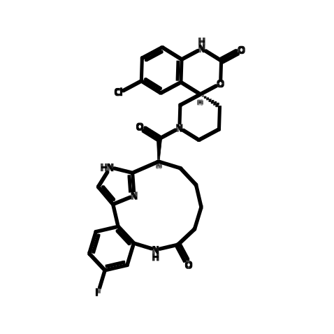 O=C1CCCC[C@H](C(=O)N2CCC[C@@]3(C2)OC(=O)Nc2ccc(Cl)cc23)c2nc(c[nH]2)-c2ccc(F)cc2N1